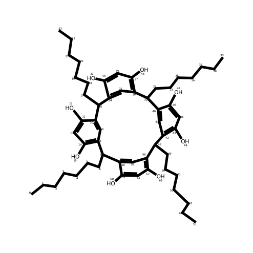 CCCCCCCC1c2cc(c(O)cc2O)C(CCCCCCC)c2cc(c(O)cc2O)C(CCCCCCC)c2cc(c(O)cc2O)C(CCCCCCC)c2cc1c(O)cc2O